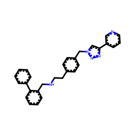 c1ccc(-c2ccccc2CNCCc2ccc(Cn3cc(-c4cccnc4)nn3)cc2)cc1